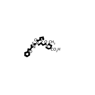 CC1CC(C(=O)O)CCN1C(=O)CCCN(C(=O)c1cccs1)c1nc(-c2cc3ccccc3o2)cs1